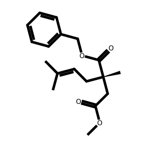 COC(=O)C[C@](C)(CC=C(C)C)C(=O)OCc1ccccc1